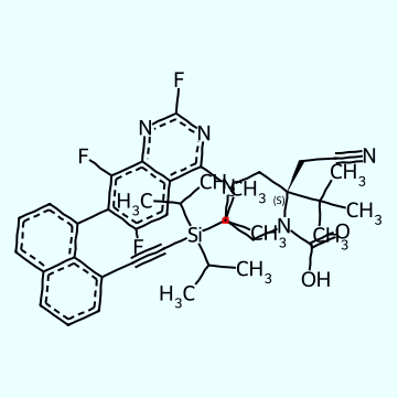 CC(C)[Si](C#Cc1cccc2cccc(-c3c(F)cc4c(N5CCN(C(=O)O)[C@@](CC#N)(C(C)(C)C)C5)nc(F)nc4c3F)c12)(C(C)C)C(C)C